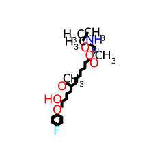 CC(=O)C(CCCCCCC(=O)O/C(C)=C\C(=O)NC(C)(C)C)CCCC(O)COc1ccc(F)cc1